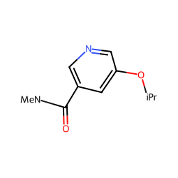 CNC(=O)c1cncc(OC(C)C)c1